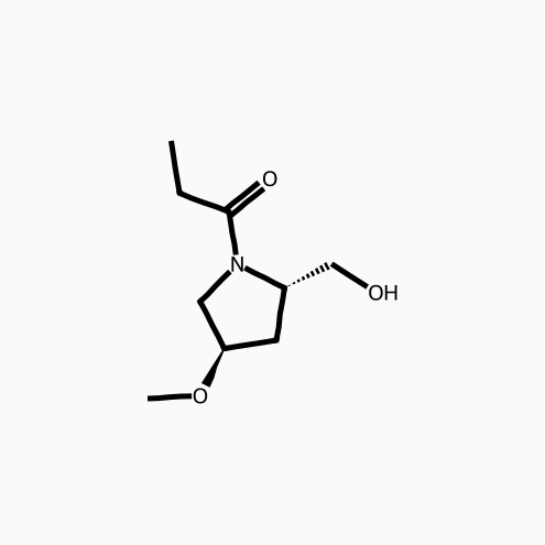 CCC(=O)N1C[C@H](OC)C[C@H]1CO